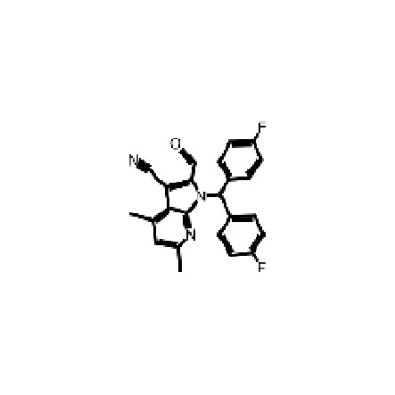 Cc1cc(C)c2c(C#N)c(C=O)n(C(c3ccc(F)cc3)c3ccc(F)cc3)c2n1